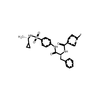 C[C@H](NS(=O)(=O)c1ccc(NC(=O)[C@H](Cc2ccccc2)NC(=O)c2ccc(F)cc2)cc1)C1CC1